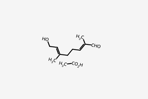 CC(=O)O.CC(C=O)=CCCC(C)=CCO